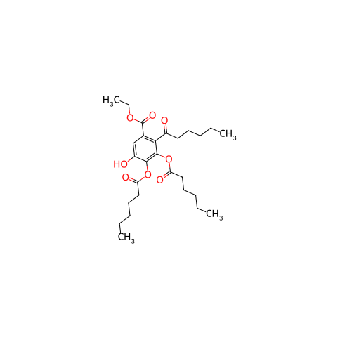 CCCCCC(=O)Oc1c(O)cc(C(=O)OCC)c(C(=O)CCCCC)c1OC(=O)CCCCC